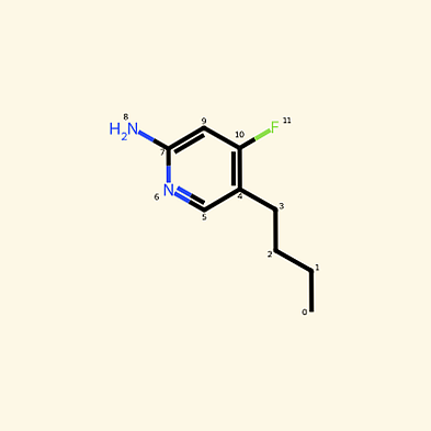 CCCCc1cnc(N)cc1F